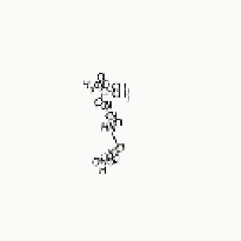 CC(C)c1cc(-c2cccc3cc(-c4ccc(C(=O)NCCC#Cc5cccc6c5CN(C5CCC(=O)NC5=O)C6=O)nc4)ncc23)cc2c1CCC(=O)N2C